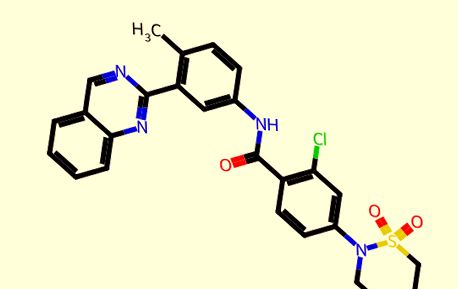 Cc1ccc(NC(=O)c2ccc(N3CCCCS3(=O)=O)cc2Cl)cc1-c1ncc2ccccc2n1